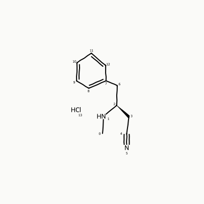 CN[C@H](CC#N)Cc1ccccc1.Cl